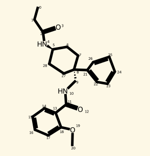 CCC(=O)N[C@H]1CC[C@@](CNC(=O)c2ccccc2OC)(c2ccccc2)CC1